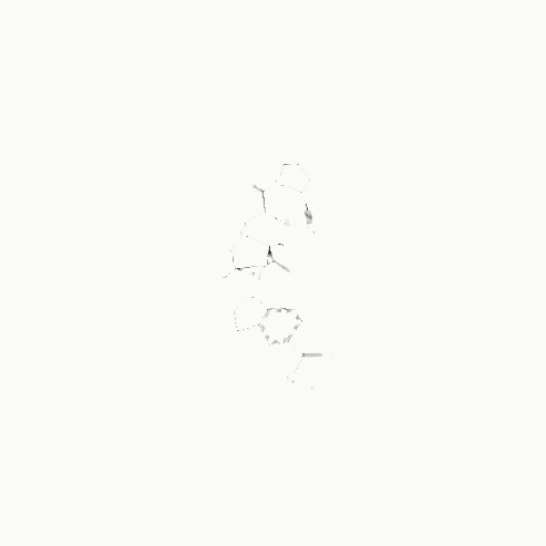 N#C[C@@H]1CCCN1C(=O)[C@@H](N)CN1C[C@@H]2C[C@H]1C(=O)N2[C@H]1CCc2cc(C(N)=O)ccc21